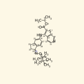 CC(C)OC(=O)c1sc2cnccc2c1Nc1ccc2c(c1)CC/C2=N/O[Si](C)(C)C(C)(C)C